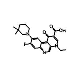 CCn1cc(C(=O)O)c(=O)c2c3cc(N4CCCC(C)(C)C4)c(F)cc3ncc21